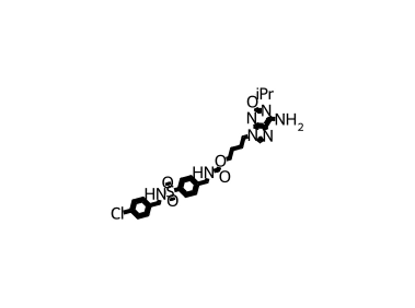 CC(C)Oc1nc(N)c2ncn(CCCCOC(=O)NCc3ccc(S(=O)(=O)NCc4ccc(Cl)cc4)cc3)c2n1